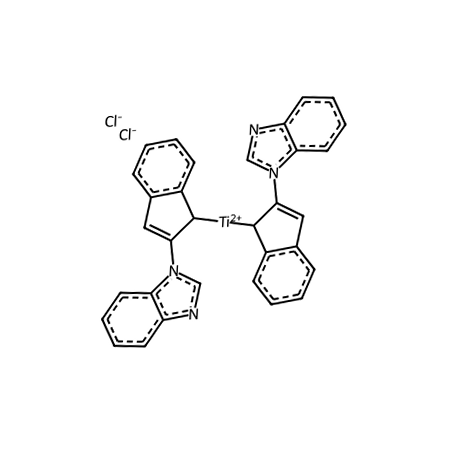 C1=C(n2cnc3ccccc32)[CH]([Ti+2][CH]2C(n3cnc4ccccc43)=Cc3ccccc32)c2ccccc21.[Cl-].[Cl-]